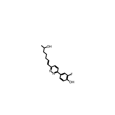 CC(O)CCCC=Cc1ccc(-c2ccc(O)c(F)c2)nn1